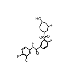 O=C(Nc1ccc(F)c(Cl)c1)c1ccc(F)c(S(=O)(=O)N2CCC(O)CC(F)C2)c1